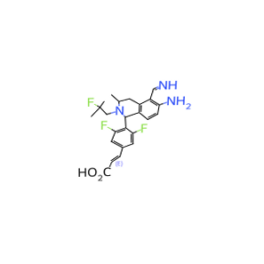 CC1Cc2c(ccc(N)c2C=N)C(c2c(F)cc(/C=C/C(=O)O)cc2F)N1CC(C)(C)F